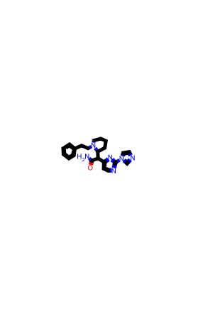 NC(=O)C(c1ccnc(-n2ccnc2)n1)C1CCCCN1CCc1ccccc1